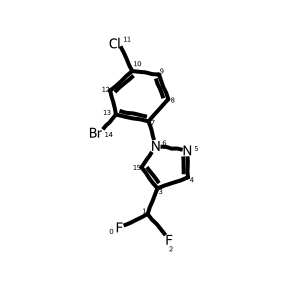 FC(F)c1cnn(-c2ccc(Cl)cc2Br)c1